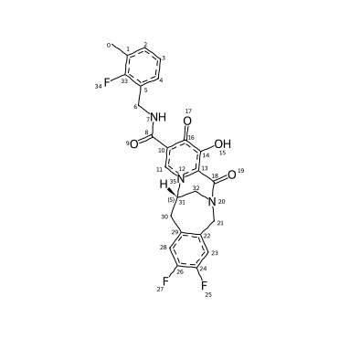 Cc1cccc(CNC(=O)c2cn3c(c(O)c2=O)C(=O)N2Cc4cc(F)c(F)cc4C[C@H]3C2)c1F